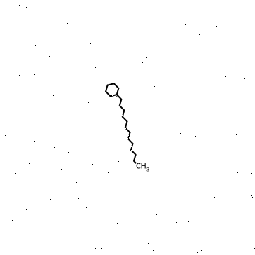 CCCCCCCCCCCCC[C]1CCCCC1